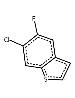 Fc1cc2c[c]sc2cc1Cl